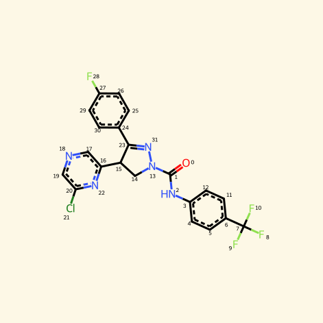 O=C(Nc1ccc(C(F)(F)F)cc1)N1CC(c2cncc(Cl)n2)C(c2ccc(F)cc2)=N1